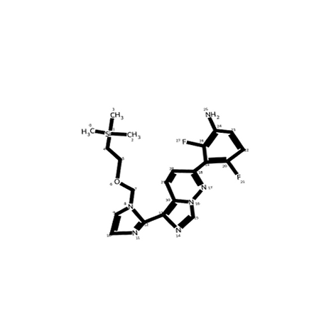 C[Si](C)(C)CCOCn1ccnc1-c1ncn2nc(-c3c(F)ccc(N)c3F)ccc12